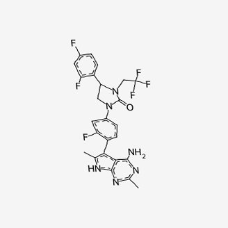 Cc1nc(N)c2c(-c3ccc(N4CC(c5ccc(F)cc5F)N(CC(F)(F)F)C4=O)cc3F)c(C)[nH]c2n1